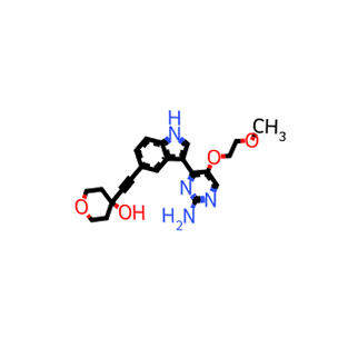 COCCOc1cnc(N)nc1-c1c[nH]c2ccc(C#CC3(O)CCOCC3)cc12